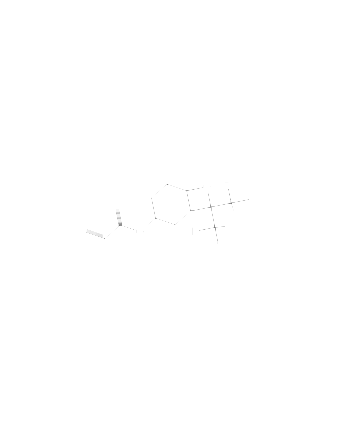 C=CC(=O)OC1CCC2OC(C(F)(F)F)(C(F)(F)F)C2C1